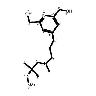 CSSC(C)(C)CN(C)CCCc1cc(CO)nc(CO)c1